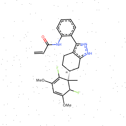 C=CC(=O)Nc1ccccc1-c1n[nH]c2c1CC[C@@H](C1(C)C(F)=C(OC)C=C(OC)C1F)C2